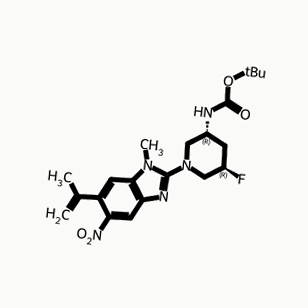 C=C(C)c1cc2c(cc1[N+](=O)[O-])nc(N1C[C@H](F)C[C@@H](NC(=O)OC(C)(C)C)C1)n2C